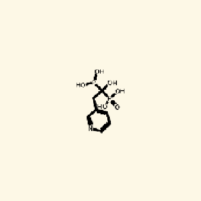 O=P(O)(O)C(O)(Cc1cccnc1)P(O)O